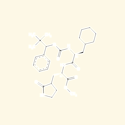 COC(=O)[C@H](CC1CCNC1=O)NC(=O)[C@H](CC1CCCCC1)NC(=O)OC(c1ccccc1)C(C)(C)C